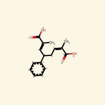 CC(=CCC(C=C(C)C(=O)O)c1ccccc1)C(=O)O